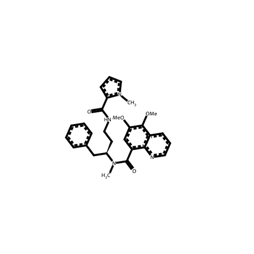 COc1cc(C(=O)N(C)[C@H](CCNC(=O)c2cccn2C)Cc2ccccc2)c2ncccc2c1OC